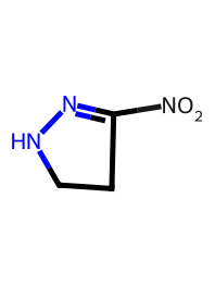 O=[N+]([O-])C1=NNCC1